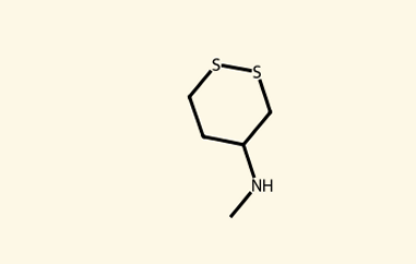 CNC1CCSSC1